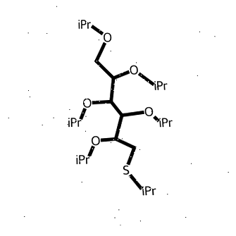 CC(C)OCC(OC(C)C)C(OC(C)C)C(OC(C)C)C(CSC(C)C)OC(C)C